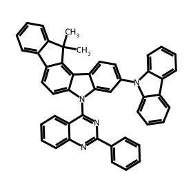 CC1(C)c2ccccc2-c2ccc3c(c21)c1ccc(-n2c4ccccc4c4ccccc42)cc1n3-c1nc(-c2ccccc2)nc2ccccc12